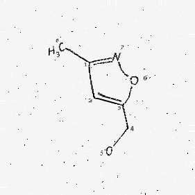 Cc1cc(C[O])on1